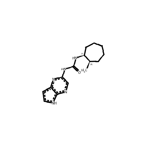 C[C@@H]1CCCCC[C@@H]1NC(=O)Nc1cnc2[nH]ccc2n1